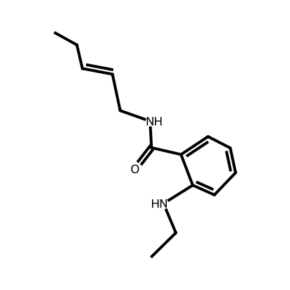 CCC=CCNC(=O)c1ccccc1NCC